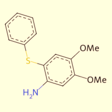 COc1cc(N)c(Sc2ccccc2)cc1OC